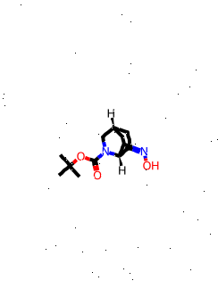 CC(C)(C)OC(=O)N1C[C@@H]2CC[C@H]1C(=NO)C2